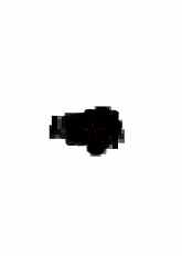 Oc1c(O)c(O)c(-c2c(O)c(O)c3c(c2O)c2c(O)c(O)c(O)c(O)c2n3-c2cccc3oc4cccc(-c5nc(-c6ccccc6)nc(-c6ccccc6)n5)c4c23)c(O)c1O